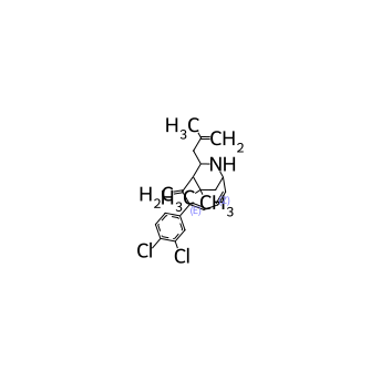 C=C(C)CC1NC2/C=C\C=C(\c3ccc(Cl)c(Cl)c3)C(=C)C1C(C)(C)C2